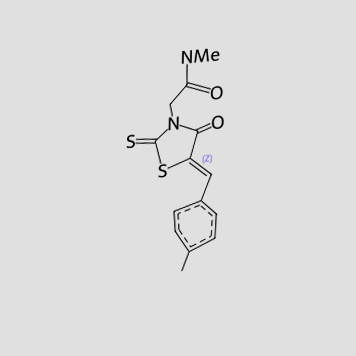 CNC(=O)CN1C(=O)/C(=C/c2ccc(C)cc2)SC1=S